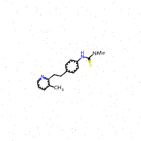 CNC(=S)Nc1ccc(CCc2ncccc2C)cc1